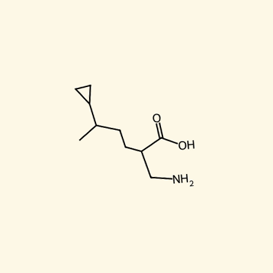 CC(CCC(CN)C(=O)O)C1CC1